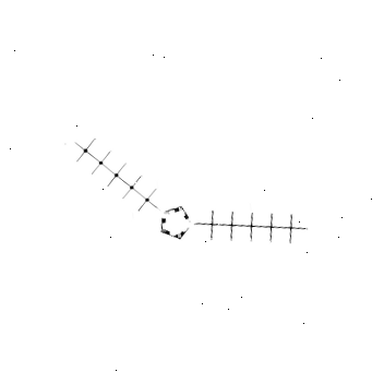 FC(F)(F)C(F)(F)C(F)(F)C(F)(F)C(F)(F)C(F)(F)n1cc[n+](C(F)(F)C(F)(F)C(F)(F)C(F)(F)C(F)(F)C(F)(F)F)c1.[I-]